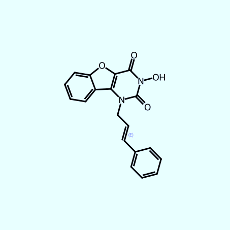 O=c1c2oc3ccccc3c2n(C/C=C/c2ccccc2)c(=O)n1O